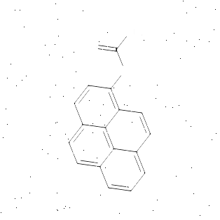 CC(=O)Oc1ccc2ccc3cccc4ccc1c2c34